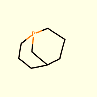 C1CC2CCCP(C1)C2